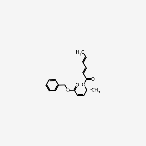 C/C=C/C=C/C(=O)O[C@H](C)/C=C\C(=O)OCc1ccccc1